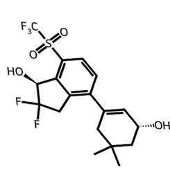 CC1(C)CC(c2ccc(S(=O)(=O)C(F)(F)F)c3c2CC(F)(F)[C@H]3O)=C[C@H](O)C1